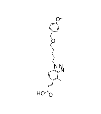 COc1ccc(COCCCCCn2nnc3c(C)c(C=CC(=O)O)ccc32)cc1